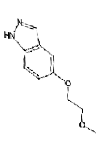 COCCOc1ccc2[nH]ncc2c1